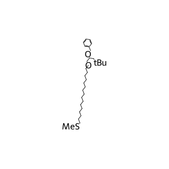 CSCCCCCCCCCCCCCCCCOCC(CC(C)(C)C)OCc1ccccc1